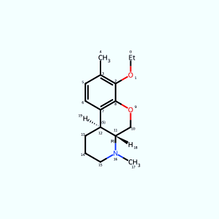 CCOc1c(C)ccc2c1OC[C@H]1[C@H]2CCCN1C